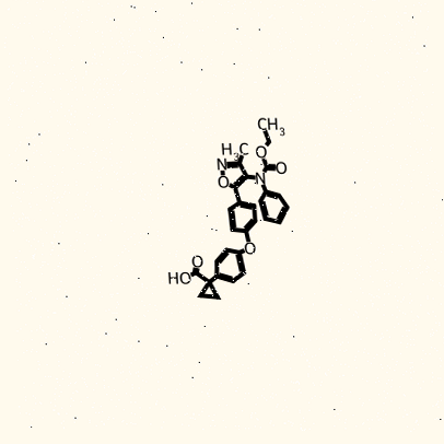 CCOC(=O)N(c1ccccc1)c1c(C)noc1-c1ccc(Oc2ccc(C3(C(=O)O)CC3)cc2)cc1